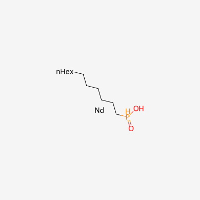 CCCCCCCCCCCC[PH](=O)O.[Nd]